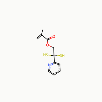 C=C(C)C(=O)OCC(S)(S)c1ccccn1